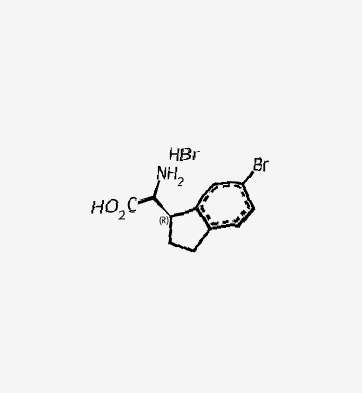 Br.NC(C(=O)O)[C@@H]1CCc2ccc(Br)cc21